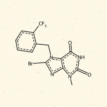 Cn1c(=O)[nH]c(=O)c2c1nc(Br)n2Cc1ccccc1C(F)(F)F